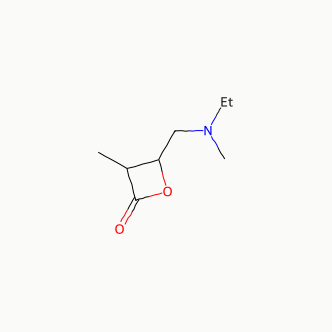 CCN(C)CC1OC(=O)C1C